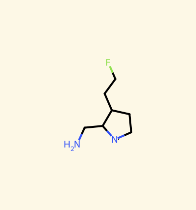 NCC1[N]CCC1CCF